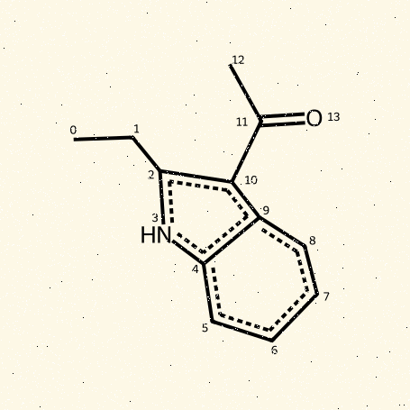 CCc1[nH]c2ccccc2c1C(C)=O